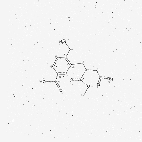 COC(=O)C(CC(=O)O)Cc1cc(C(=O)O)ccc1CN